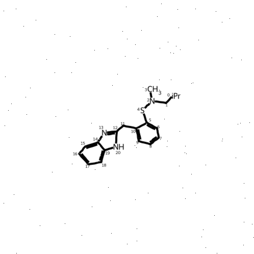 CC(C)CN(C)Sc1ccccc1Cc1nc2ccccc2[nH]1